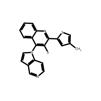 Cc1csc(-c2nc3ccccc3c(-n3ccc4cnccc43)c2F)c1